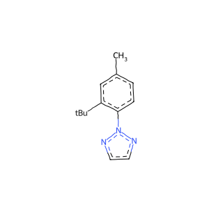 Cc1ccc(-n2nccn2)c(C(C)(C)C)c1